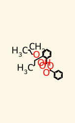 C=C(C)COC(O)(CCC)c1ccccc1C(=O)OC(=O)c1ccccc1